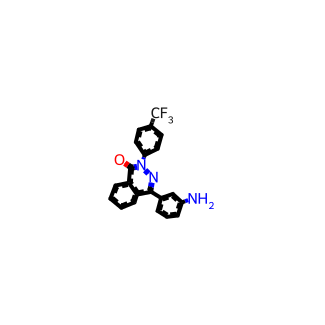 Nc1cccc(-c2nn(-c3ccc(C(F)(F)F)cc3)c(=O)c3ccccc23)c1